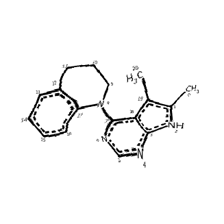 Cc1[nH]c2ncnc(N3CCCc4ccccc43)c2c1C